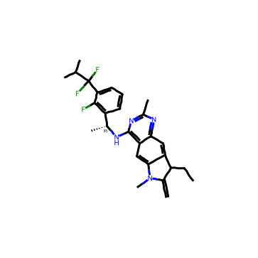 C=C1C(CC)c2cc3nc(C)nc(N[C@H](C)c4cccc(C(F)(F)C(C)C)c4F)c3cc2N1C